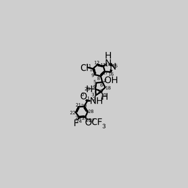 O=C(N[C@H]1[C@@H]2C[C@@](O)(c3cc(Cl)cc4[nH]ncc34)C[C@@H]21)c1ccc(F)c(OC(F)(F)F)c1